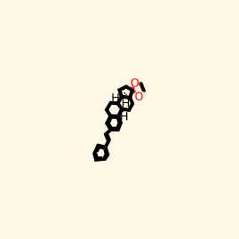 C[C@]12CC[C@@H]3c4ccc(/C=C/c5ccccc5)cc4CC[C@H]3[C@@H]1CCC21OCCO1